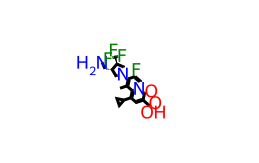 Cc1c(N2C[C@H](CN)[C@@H](C(F)(F)F)C2)c(F)cn2c(=O)c(C(=O)O)cc(C3CC3)c12